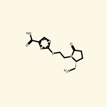 NC[C@H]1CCC(=O)N1CCSc1nc(C(=O)O)cs1